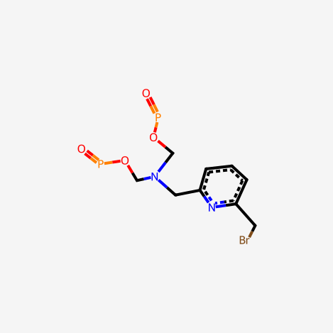 O=POCN(COP=O)Cc1cccc(CBr)n1